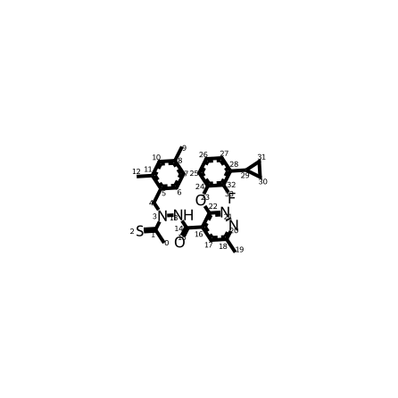 CC(=S)N(Cc1ccc(C)cc1C)NC(=O)c1cc(C)nnc1Oc1cccc(C2CC2)c1F